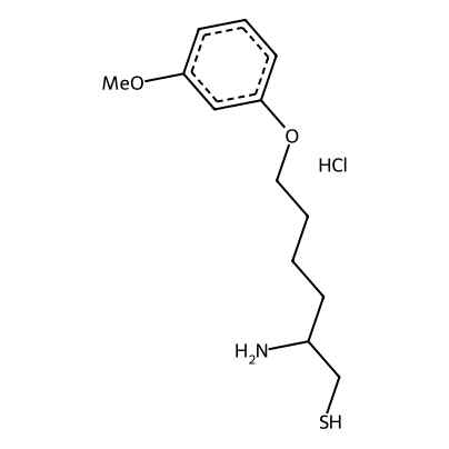 COc1cccc(OCCCCC(N)CS)c1.Cl